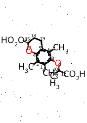 Cc1c(C)c2c(c(C)c1OC(C)C(=O)O)CC[C@H](C(=O)O)O2